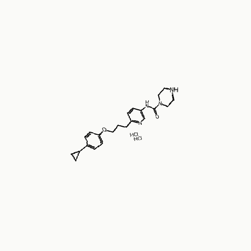 Cl.Cl.O=C(Nc1ccc(CCCOc2ccc(C3CC3)cc2)nc1)N1CCNCC1